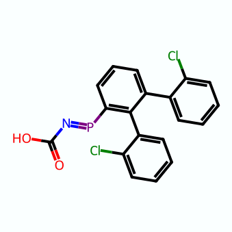 O=C(O)/N=P/c1cccc(-c2ccccc2Cl)c1-c1ccccc1Cl